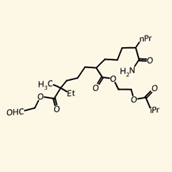 CCCC(CCCC(CCCC(C)(CC)C(=O)OCC=O)C(=O)OCCOC(=O)C(C)C)C(N)=O